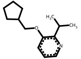 CC(C)c1ncccc1OCC1CCCC1